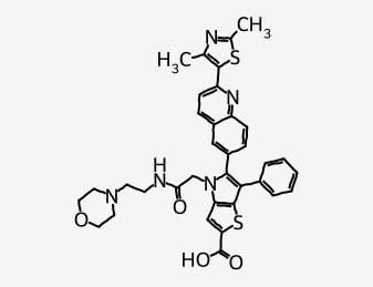 Cc1nc(C)c(-c2ccc3cc(-c4c(-c5ccccc5)c5sc(C(=O)O)cc5n4CC(=O)NCCN4CCOCC4)ccc3n2)s1